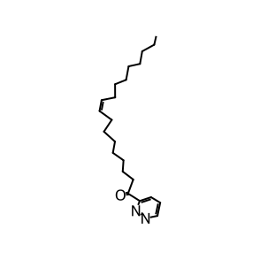 CCCCCCCC/C=C\CCCCCCCC(=O)c1cccnn1